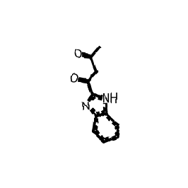 CC(=O)CC(=O)c1nc2ccccc2[nH]1